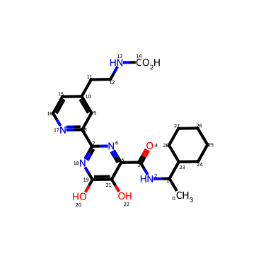 CC(NC(=O)c1nc(-c2cc(CCNC(=O)O)ccn2)nc(O)c1O)C1CCCCC1